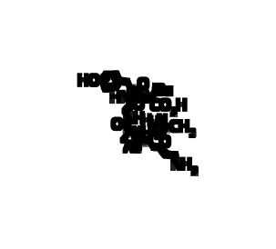 CC[C@H](C)[C@H](NC(=O)[C@H](Cc1ccc(O)cc1)NC(=O)CNC(=O)[C@H](CC(C)=O)NC(=O)[C@H](CCCCN)NC(=O)[C@H](C)N)C(=O)O